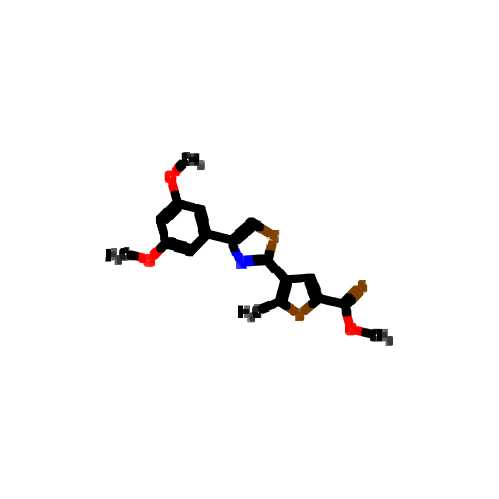 COC(=S)c1cc(-c2nc(-c3cc(OC)cc(OC)c3)cs2)c(C)s1